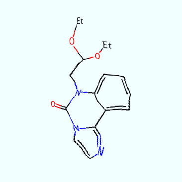 CCOC(Cn1c(=O)n2ccnc2c2ccccc21)OCC